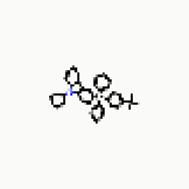 CC(C)(C)c1ccc([Si](c2ccccc2)(c2ccccc2)c2ccc3c(c2)C2CCC=CC2N3c2ccccc2)cc1